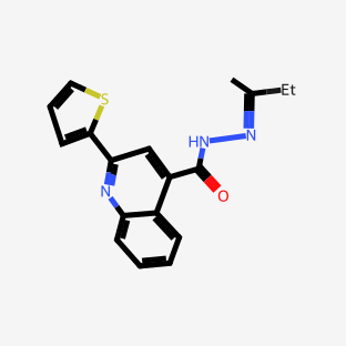 CCC(C)=NNC(=O)c1cc(-c2cccs2)nc2ccccc12